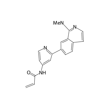 C=CC(=O)Nc1ccnc(-c2ccc3ccnc(NC)c3c2)c1